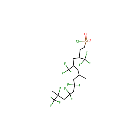 CC(CC(CC(CCS(=O)(=O)Cl)C(F)(F)F)C(F)(F)F)CC(F)(F)CC(F)(F)CC(C)(F)C(F)(F)F